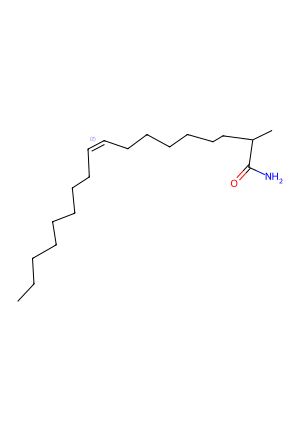 CCCCCCCC/C=C\CCCCCCC(C)C(N)=O